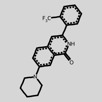 O=c1[nH]c(-c2ccccc2C(F)(F)F)cc2ccc(N3CCCCC3)cc12